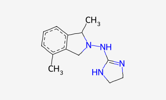 Cc1cccc2c1CN(NC1=NCCN1)C2C